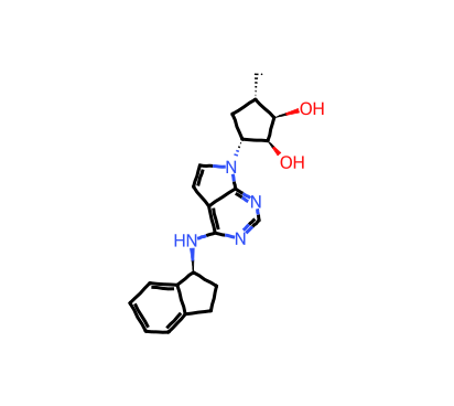 [CH2][C@H]1C[C@@H](n2ccc3c(N[C@H]4CCc5ccccc54)ncnc32)[C@H](O)[C@@H]1O